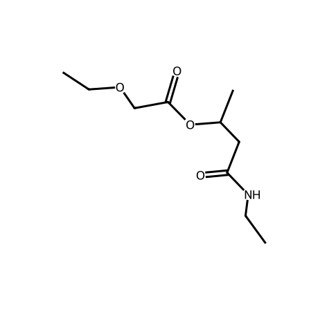 CCNC(=O)CC(C)OC(=O)COCC